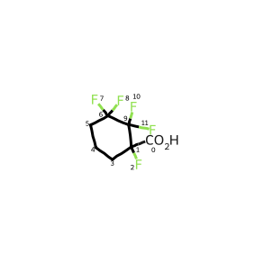 O=C(O)C1(F)CCCC(F)(F)C1(F)F